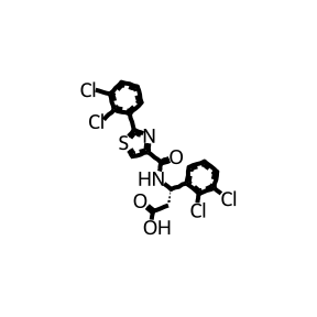 O=C(O)C[C@H](NC(=O)c1csc(-c2cccc(Cl)c2Cl)n1)c1cccc(Cl)c1Cl